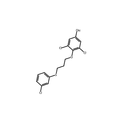 Oc1cc(Cl)c(OCCCSc2cccc(Cl)c2)c(Cl)c1